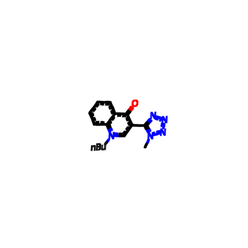 CCCCn1cc(-c2nnnn2C)c(=O)c2ccccc21